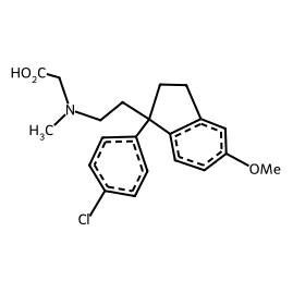 COc1ccc2c(c1)CCC2(CCN(C)CC(=O)O)c1ccc(Cl)cc1